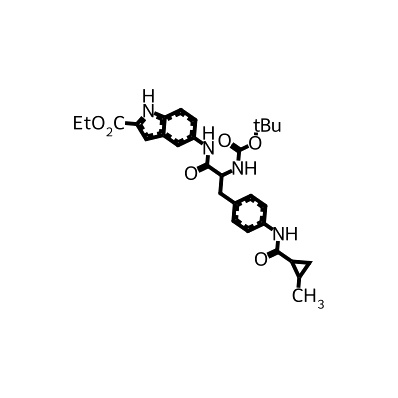 CCOC(=O)c1cc2cc(NC(=O)C(Cc3ccc(NC(=O)C4CC4C)cc3)NC(=O)OC(C)(C)C)ccc2[nH]1